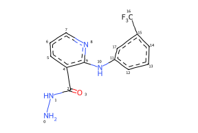 NNC(=O)c1cccnc1Nc1cccc(C(F)(F)F)c1